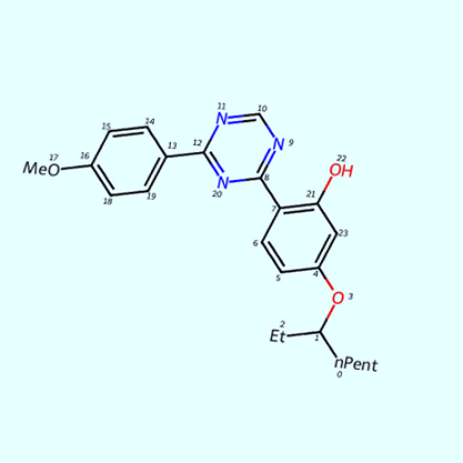 CCCCCC(CC)Oc1ccc(-c2ncnc(-c3ccc(OC)cc3)n2)c(O)c1